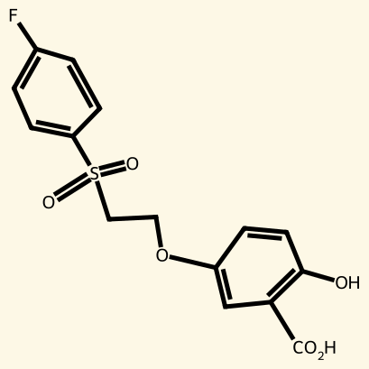 O=C(O)c1cc(OCCS(=O)(=O)c2ccc(F)cc2)ccc1O